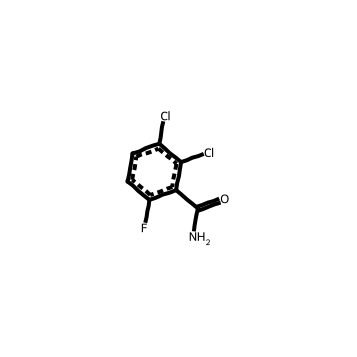 NC(=O)c1c(F)ccc(Cl)c1Cl